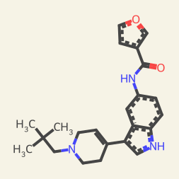 CC(C)(C)CN1CC=C(c2c[nH]c3ccc(NC(=O)c4ccoc4)cc23)CC1